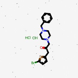 Cl.Cl.O=C(Cc1ccc(Br)s1)CN1CCN(Cc2ccccc2)CC1